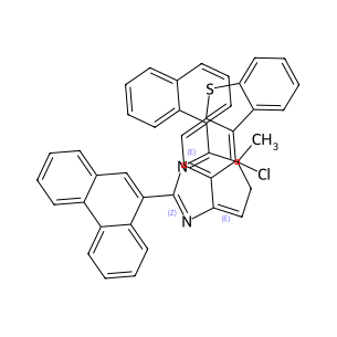 CC1C/C=C(c2ccc3sc4ccccc4c3c2Cl)/N=C(c2cc3ccccc3c3ccccc23)\N=C/1c1cccc2ccccc12